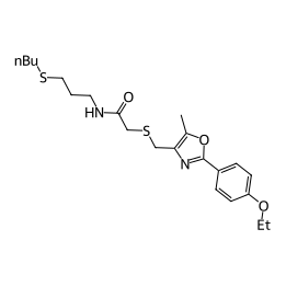 CCCCSCCCNC(=O)CSCc1nc(-c2ccc(OCC)cc2)oc1C